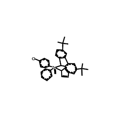 [CH2]=[Zr]([c]1ccccc1)([c]1ccc(Cl)cc1)([CH]1C=CC=C1)[CH]1c2ccc(C(C)(C)C)cc2-c2cc(C(C)(C)C)ccc21